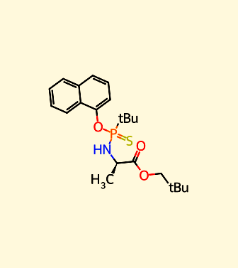 C[C@@H](NP(=S)(Oc1cccc2ccccc12)C(C)(C)C)C(=O)OCC(C)(C)C